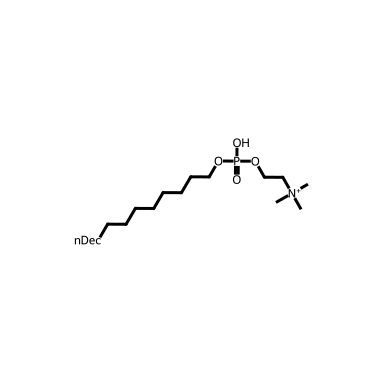 CCCCCCCCCCCCCCCCCCOP(=O)(O)OCC[N+](C)(C)C